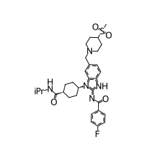 CC(C)NC(=O)[C@H]1CC[C@@H](n2/c(=N/C(=O)c3ccc(F)cc3)[nH]c3ccc(CN4CCC(S(C)(=O)=O)CC4)cc32)CC1